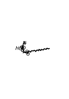 CCCCCCCCCCCCCCCCCC(=O)OCC(C)COP(=O)(O)OCCN(C)C